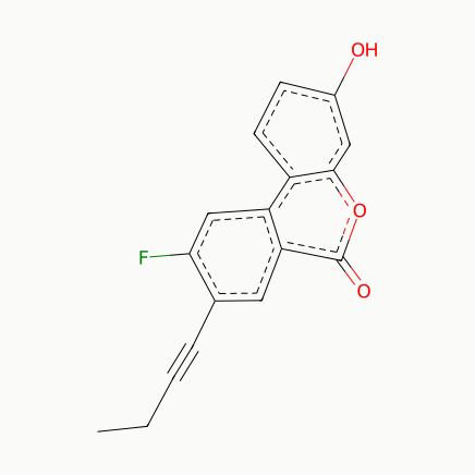 CCC#Cc1cc2c(=O)oc3cc(O)ccc3c2cc1F